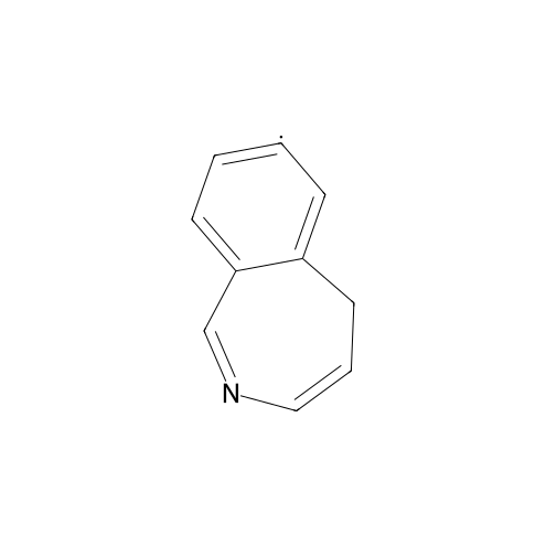 [c]1ccc2c(c1)CC=CN=C2